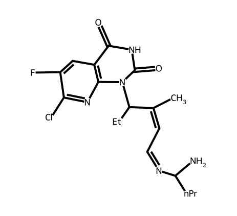 CCCC(N)/N=C\C=C(\C)C(CC)n1c(=O)[nH]c(=O)c2cc(F)c(Cl)nc21